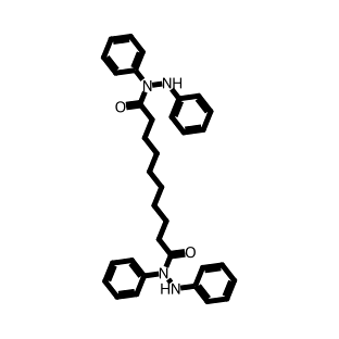 O=C(CCCCCCCCC(=O)N(Nc1ccccc1)c1ccccc1)N(Nc1ccccc1)c1ccccc1